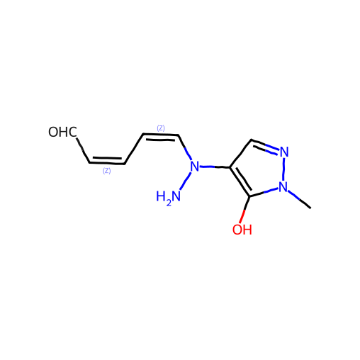 Cn1ncc(N(N)/C=C\C=C/C=O)c1O